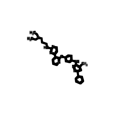 CCN(CC)CCCNc1nccc(-c2cccnc2Oc2ccc(Nc3nnc(-c4ccccc4)cc3C)cc2)n1